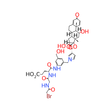 C[C@]12C=CC(=O)C=C1CC[C@@H]1[C@@H]2[C@@H](O)C[C@@]2(C)[C@H]1C[C@H]1O[C@@H](c3ccn(Cc4cc(CO)cc(NC(=O)[C@H](CCC(=O)O)NC(=O)CNC(=O)CBr)c4)c3)O[C@]12C(=O)CO